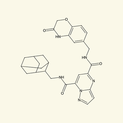 O=C1COc2ccc(CNC(=O)c3cc(C(=O)NCC4C5CC6CC(C5)CC4C6)n4nccc4n3)cc2N1